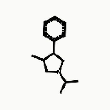 CC1CN(C(C)C)CC1c1ccccc1